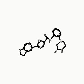 C[C@H]1CN(c2ccccc2NC(=O)c2csc(-c3ccc4c(c3)CCO4)n2)CCN1